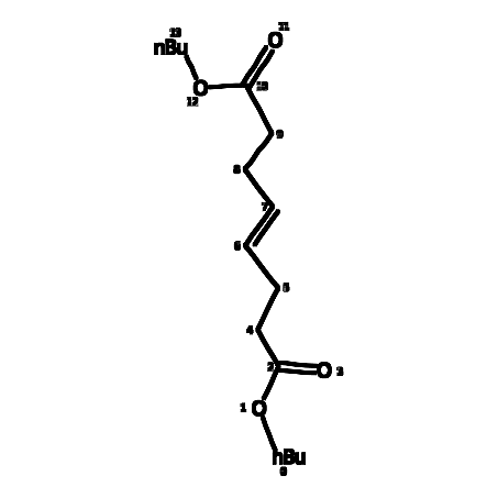 CCCCOC(=O)CCC=CCCC(=O)OCCCC